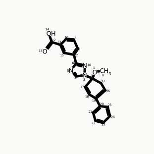 COC1(n2cnc(-c3cccc(C(=O)O)c3)n2)C=CC(c2ccccc2)=CC1